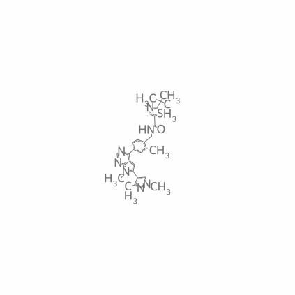 Cc1cc(-c2ncnc3c2cc(-c2cn(C)nc2C)n3C)ccc1CNC(=O)c1cnc(C(C)(C)C)s1